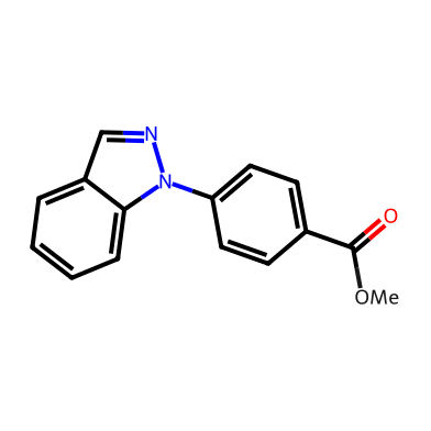 COC(=O)c1ccc(-n2ncc3ccccc32)cc1